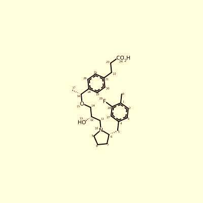 Cc1ccc(C[C@@H]2CCCN2C[C@H](O)CO[C@H](C)c2ccc(CCC(=O)O)cc2)cc1F